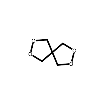 C1OOCC12COOC2